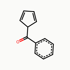 O=C(c1ccccc1)C1C=CC=C1